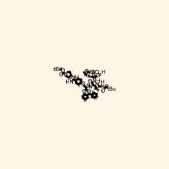 CC(C)(C)OC(=O)Nc1nc(/C(=N/OC(COc2ccc(C(=N)NC3CCN(C(=O)OC(C)(C)C)CC3)cc2)C(=O)OC(c2ccccc2)c2ccccc2)C(=O)N[C@@H]2C(=O)N(S(=O)(=O)O)[C@@H]2CN2CCOC2=O)cs1